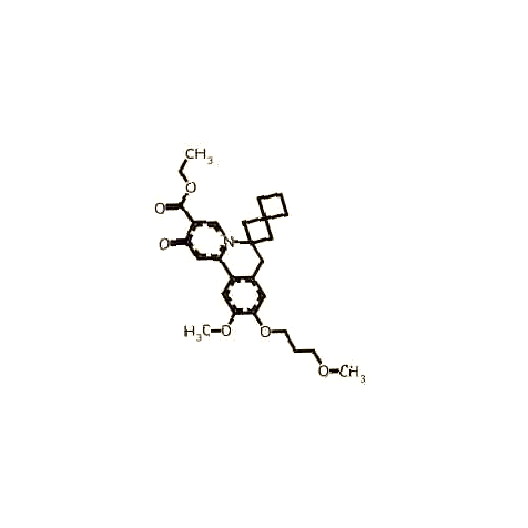 CCOC(=O)c1cn2c(cc1=O)-c1cc(OC)c(OCCCOC)cc1CC21CC2(CCC2)C1